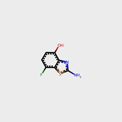 Nc1nc2c(O)ccc(F)c2s1